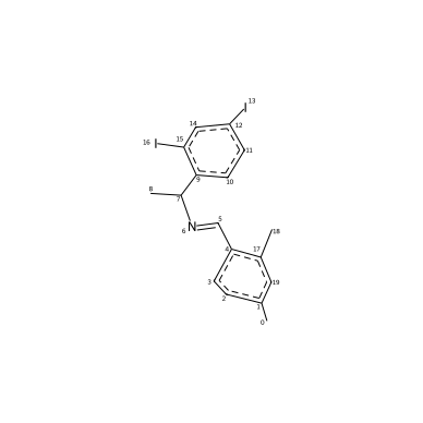 Cc1ccc(C=NC(C)c2ccc(I)cc2I)c(C)c1